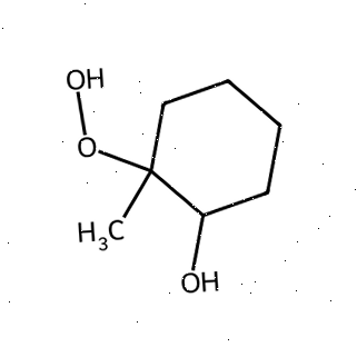 CC1(OO)CCCCC1O